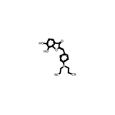 N#CCCN(CCC#N)c1ccc(/C=C2\Oc3c(ccc(O)c3O)C2=O)cc1